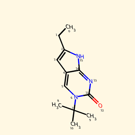 CCc1cc2cn(C(C)(C)C)c(=O)nc2[nH]1